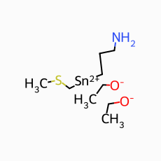 CC[O-].CC[O-].CS[CH2][Sn+2][CH2]CCN